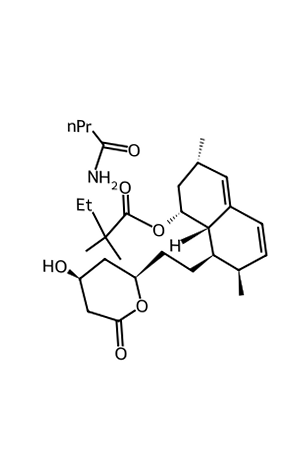 CCC(C)(C)C(=O)O[C@@H]1C[C@H](C)C=C2C=C[C@@H](C)[C@@H](CC[C@@H]3C[C@H](O)CC(=O)O3)[C@@H]21.CCCC(N)=O